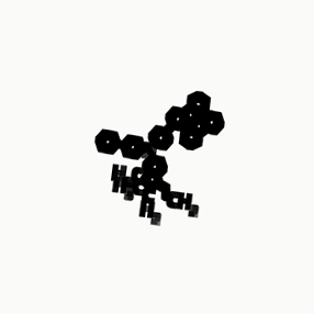 C=C/C=C1\C(=C)C(C)(C)c2cc(N(c3ccc(-c4ccccc4)cc3)c3ccc(-c4ccc5c(c4)C4(c6ccccc6-c6ccccc64)c4ccccc4-5)cc3)ccc21